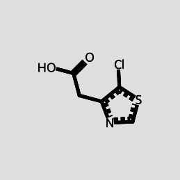 O=C(O)Cc1ncsc1Cl